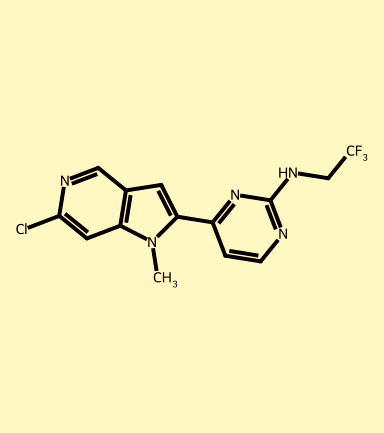 Cn1c(-c2ccnc(NCC(F)(F)F)n2)cc2cnc(Cl)cc21